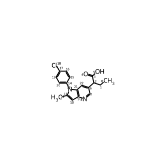 CCC(C(=O)O)c1cnc2cc(C)n(-c3ccc(Cl)cc3)c2c1